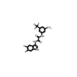 Cc1cc(NC(=O)C(=O)Nc2c[nH]c3cc(F)c(F)cc23)cc(C(F)(F)F)c1